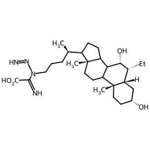 CC[C@H]1[C@@H](O)C2C3CCC([C@H](C)CCCN(N=N)C(=N)C(=O)O)[C@@]3(C)CCC2[C@@]2(C)CC[C@@H](O)C[C@@H]12